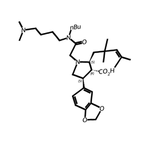 CCCCN(CCCCN(C)C)C(=O)CN1C[C@H](c2ccc3c(c2)OCO3)[C@@H](C(=O)O)[C@@H]1CC(C)(C)C=C(C)C